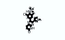 Cc1cc(-c2nc3ccc(=O)[nH]c3nc2-c2ccn(C)n2)cc(Cl)c1NS(C)(=O)=O